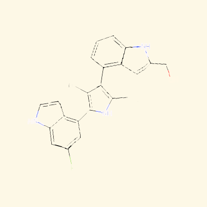 CC(C)c1c(-c2cc(F)cc3[nH]ccc23)[nH]c(C(=O)O)c1-c1cccc2[nH]c(CO)cc12